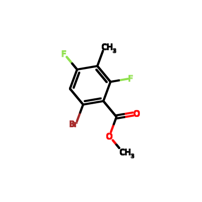 COC(=O)c1c(Br)cc(F)c(C)c1F